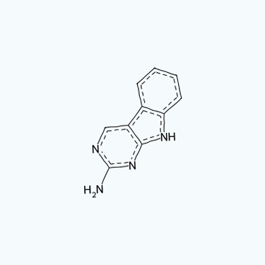 Nc1ncc2c(n1)[nH]c1ccccc12